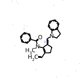 C=CC1=C(N(C)C(=O)c2ccccc2)/C(=C/N2CCc3ccccc32)CC1